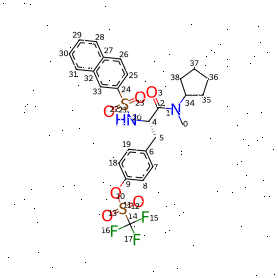 CN(C(=O)[C@H](Cc1ccc(OS(=O)(=O)C(F)(F)F)cc1)NS(=O)(=O)c1ccc2ccccc2c1)C1CCCC1